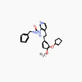 COc1ccc(CCc2ccncc2NC(=O)NCc2ccccc2)cc1OC1CCCC1